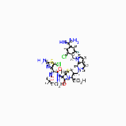 CC(C)(O/N=C(\C(=O)N[C@@H]1C(=O)N2C(C(=O)O)=C(C[n+]3ccc4ccn(Cc5c(F)cc(C(=N)N)cc5Cl)c4c3)CS[C@H]12)c1nc(N)sc1Cl)C(=O)O